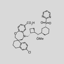 CO[C@@H]([C@@H]1CCC[C@@H](S(=O)(=O)c2ncccn2)C1)[C@@H]1CC[C@H]1CN1C[C@@]2(CCCc3cc(Cl)ccc32)COc2ccc(C(=O)O)cc21